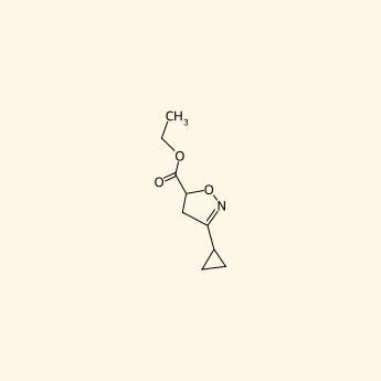 CCOC(=O)C1CC(C2CC2)=NO1